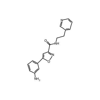 Nc1cccc(-c2cc(C(=O)NCCc3cccnc3)no2)c1